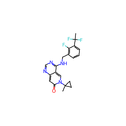 CC(F)(F)c1cccc(CNc2ncnc3cc(=O)n(C4(C)CC4)cc23)c1F